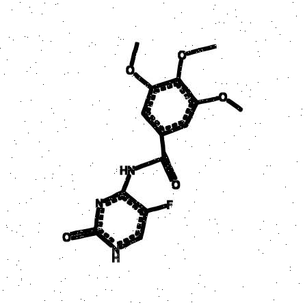 COc1cc(C(=O)Nc2nc(=O)[nH]cc2F)cc(OC)c1OC